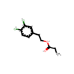 CCC(=O)OCCc1ccc(Cl)c(Cl)c1